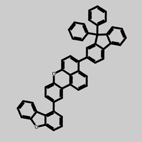 c1ccc(C2(c3ccccc3)c3ccccc3-c3ccc(-c4ccc5c6c(cccc46)-c4cc(-c6cccc7oc8ccccc8c67)ccc4O5)cc32)cc1